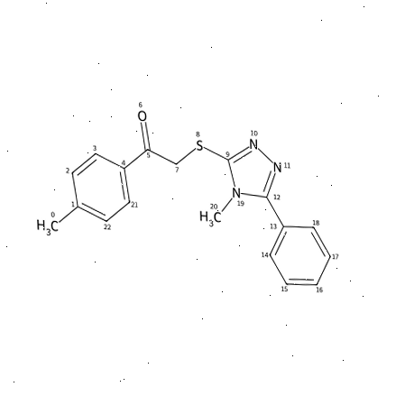 Cc1ccc(C(=O)CSc2nnc(-c3ccccc3)n2C)cc1